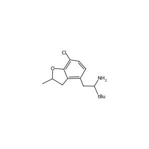 CC1Cc2c(CC(N)C(C)(C)C)ccc(Cl)c2O1